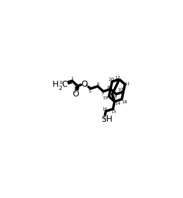 C=CC(=O)OCCCC12CC3CC(CC(CCS)(C3)C1)C2